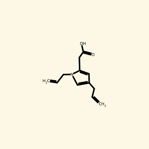 C=CCc1cc(CC(=O)O)n(CC=C)c1